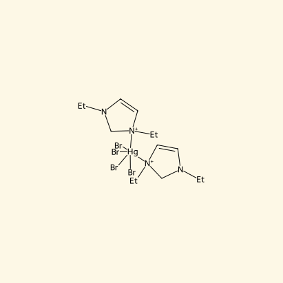 CCN1C=C[N+](CC)([Hg]([Br])([Br])([Br])([Br])[N+]2(CC)C=CN(CC)C2)C1